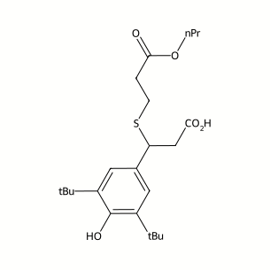 CCCOC(=O)CCSC(CC(=O)O)c1cc(C(C)(C)C)c(O)c(C(C)(C)C)c1